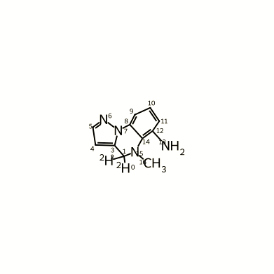 [2H]C1([2H])c2ccnn2-c2cccc(N)c2N1C